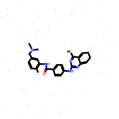 Cc1ccc(CN(C)C)cc1NC(=O)c1ccc(Nc2nc(C(C)C)c3c(n2)=CCCC=3)cc1